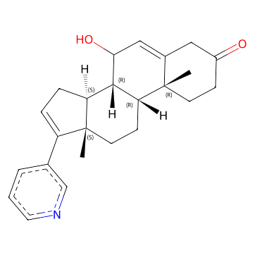 C[C@]12CCC(=O)CC1=CC(O)[C@@H]1[C@H]2CC[C@]2(C)C(c3cccnc3)=CC[C@@H]12